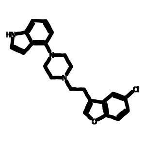 Clc1ccc2occ(CCN3CCN(c4cccc5[nH]ccc45)CC3)c2c1